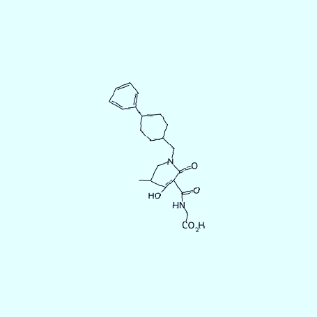 CC1CN(CC2CCC(c3ccccc3)CC2)C(=O)C(C(=O)NCC(=O)O)=C1O